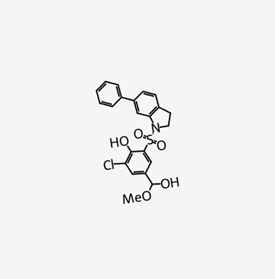 COC(O)c1cc(Cl)c(O)c(S(=O)(=O)N2CCc3ccc(-c4ccccc4)cc32)c1